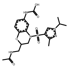 CC(=O)NCC1CN(S(=O)(=O)c2cn(C(C)C)nc2C)c2cc(NC(=O)O)ccc2O1